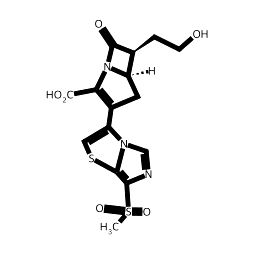 CS(=O)(=O)c1ncn2c(C3=C(C(=O)O)N4C(=O)[C@@H](CCO)[C@H]4C3)csc12